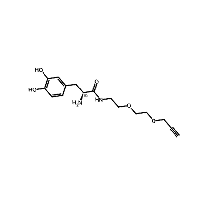 C#CCOCCOCCNC(=O)[C@@H](N)Cc1ccc(O)c(O)c1